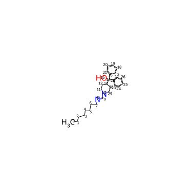 CCCCCCCCN=CN1CCC(C(O)(c2ccccc2)c2ccccc2)CC1